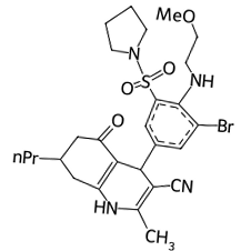 CCCC1CC(=O)C2=C(C1)NC(C)=C(C#N)C2c1cc(Br)c(NCCOC)c(S(=O)(=O)N2CCCC2)c1